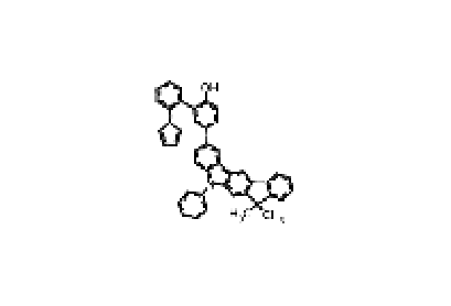 CC1(C)c2ccccc2-c2cc3c4cc(-c5ccc(O)c(-c6ccccc6C6C=CC=C6)c5)ccc4n(-c4ccccc4)c3cc21